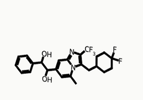 Cc1cc(C(O)C(O)c2ccccc2)cc2nc(C(F)(F)F)c(CC3CCC(F)(F)CC3)n12